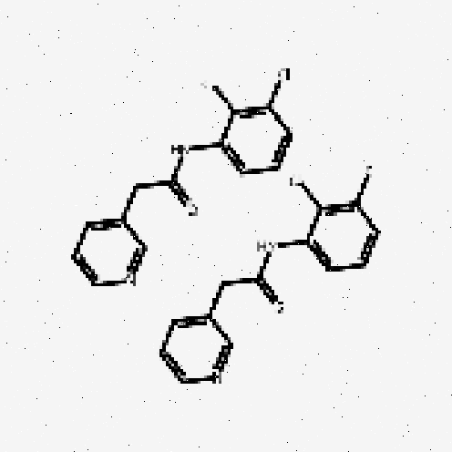 O=C(Cc1cccnc1)Nc1cccc(Cl)c1Cl.S=C(Cc1cccnc1)Nc1cccc(Cl)c1Cl